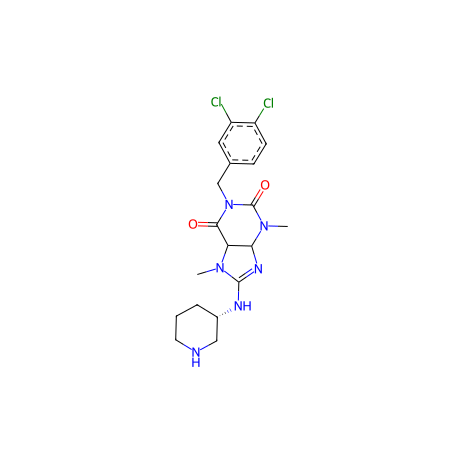 CN1C(=O)N(Cc2ccc(Cl)c(Cl)c2)C(=O)C2C1N=C(N[C@H]1CCCNC1)N2C